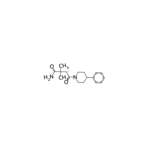 CC(C)([CH]C(=O)N1CCC(c2ccccc2)CC1)C(N)=O